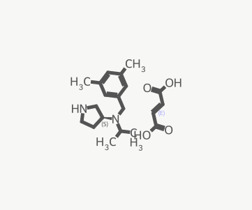 Cc1cc(C)cc(CN(C(C)C)[C@H]2CCNC2)c1.O=C(O)/C=C/C(=O)O